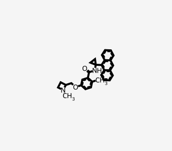 Cc1ccc(OCC2CCN2C)cc1C(=O)NC1(c2c3ccccc3cc3ccccc23)CC1